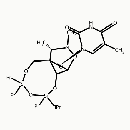 Cc1cn([C@@H]2O[C@]34CO[Si](C(C)C)(C(C)C)O[Si](C(C)C)(C(C)C)OC3C2ON(C)[C@H]4C)c(=O)[nH]c1=O